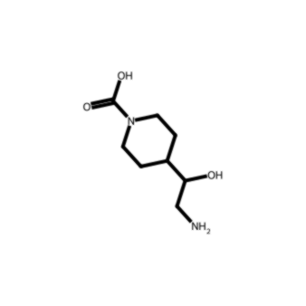 NCC(O)C1CCN(C(=O)O)CC1